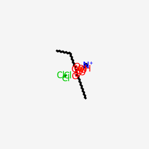 CCCCCCCC/C=C\CCCCCCCC(=O)OC(COC(=O)CCCCCCCCCCCCCCC)COP(=O)(O)OCC[N+](C)(C)C.ClC(Cl)Cl